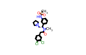 CN(C(=O)Cc1ccc(Cl)c(Cl)c1)[C@H](CN1CCCC1)c1cccc(NS(C)(=O)=O)c1